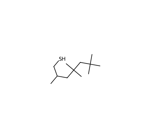 CC(CS)CC(C)(C)CC(C)(C)C